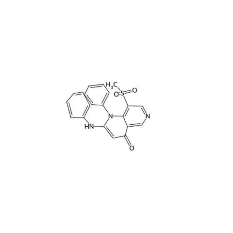 CS(=O)(=O)c1cncc2c(=O)cc(Nc3ccccc3)n(-c3ccccc3)c12